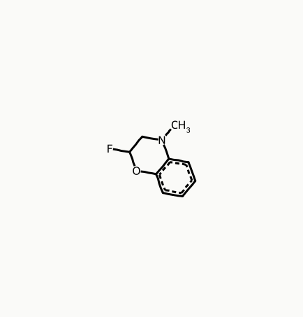 CN1CC(F)Oc2ccccc21